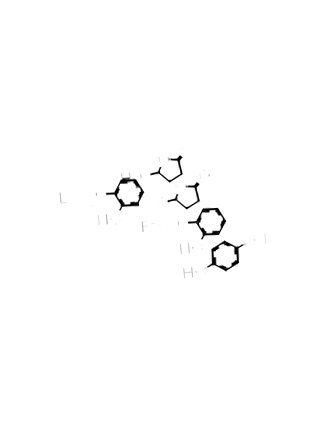 CC1CCC(=O)O1.CC1CCC(=O)O1.CCOC(=O)c1ccccc1O.CCOC(=O)c1ccccc1O.Oc1ccc(O)cc1